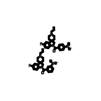 C=CCN1CCC2(CC1)CN(C(=O)c1ccc([N+](=O)[O-])cc1)c1ccc(F)cc12.C=CCN1CCC2(CC1)CN(C(=O)c1cccc([N+](=O)[O-])c1)c1ccc(F)cc12